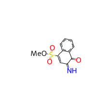 COS(=O)(=O)C1=CC(=N)C(=O)c2ccccc21